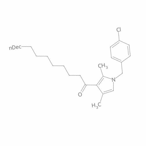 CCCCCCCCCCCCCCCCCC(=O)c1c(C)cn(Cc2ccc(Cl)cc2)c1C